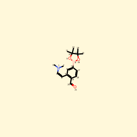 CN(C)/C=C\c1cc(B2OC(C)(C)C(C)(C)O2)ccc1C=O